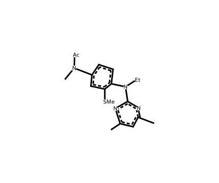 CCN(c1nc(C)cc(C)n1)c1ccc(N(C)C(C)=O)cc1SC